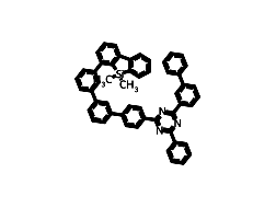 C[Si]1(C)c2ccccc2-c2cccc(-c3cccc(-c4cccc(-c5ccc(-c6nc(-c7ccccc7)nc(-c7cccc(-c8ccccc8)c7)n6)cc5)c4)c3)c21